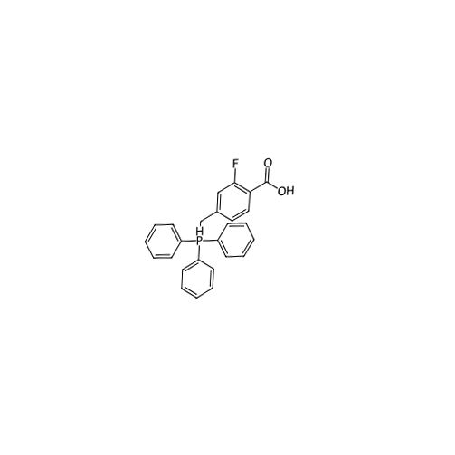 O=C(O)c1ccc(C[PH](c2ccccc2)(c2ccccc2)c2ccccc2)cc1F